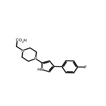 O=C(O)CN1CCN(c2cc(-c3ccc(F)cc3)c[nH]2)CC1